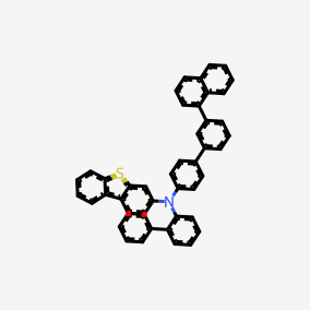 c1ccc(-c2ccccc2N(c2ccc(-c3cccc(-c4cccc5ccccc45)c3)cc2)c2ccc3c(c2)sc2ccccc23)cc1